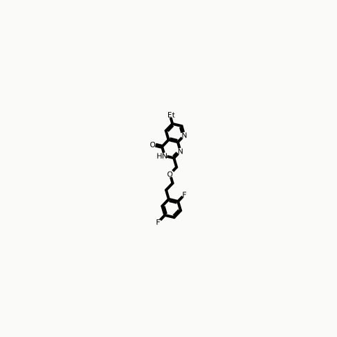 CCc1cnc2nc(COCCc3cc(F)ccc3F)[nH]c(=O)c2c1